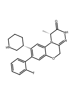 C[C@@H]1C(=O)NN=C2COc3cc(-c4ccccc4F)c([C@H]4CCCNC4)cc3N21